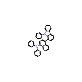 c1ccc(N(c2ccccc2)c2ccc(-c3cccc4c5ccccc5n(-c5ccccc5)c34)c3ccccc23)cc1